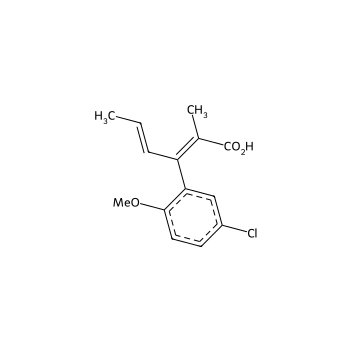 C/C=C/C(=C(\C)C(=O)O)c1cc(Cl)ccc1OC